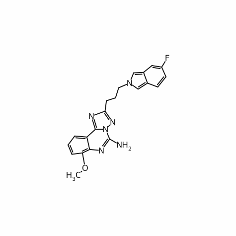 COc1cccc2c1nc(N)n1nc(CCCn3cc4ccc(F)cc4c3)nc21